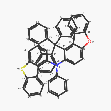 c1ccc(N(c2ccc3oc4ccccc4c3c2C2(c3ccccc3)c3ccccc3-c3ccccc32)c2cccc3sc4ccccc4c23)cc1